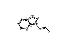 CC=Cn1nnc2ccccc21